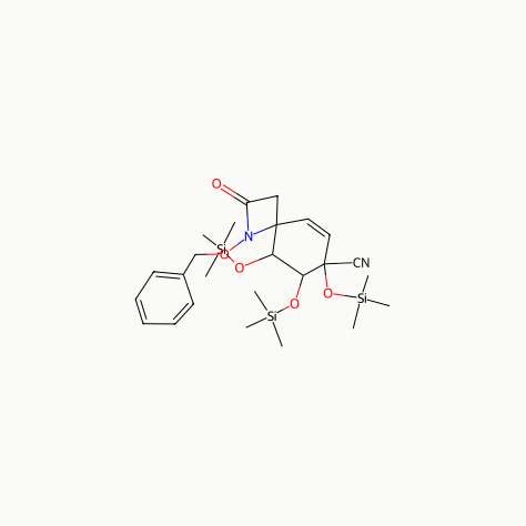 C[Si](C)(C)OC1C(O[Si](C)(C)C)C2(C=CC1(C#N)O[Si](C)(C)C)CC(=O)N2OCc1ccccc1